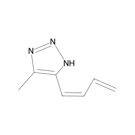 C=C/C=C\c1[nH]nnc1C